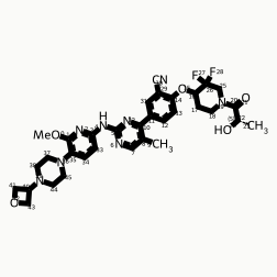 COc1nc(Nc2ncc(C)c(-c3ccc(OC4CCN(C(=O)[C@H](C)O)CC4(F)F)c(C#N)c3)n2)ccc1N1CCN(C2COC2)CC1